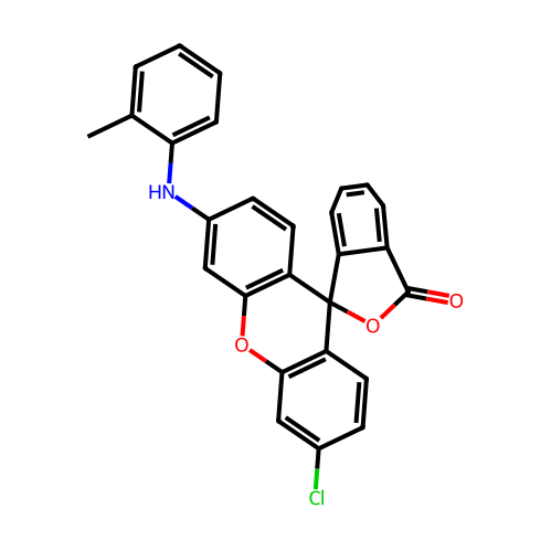 Cc1ccccc1Nc1ccc2c(c1)Oc1cc(Cl)ccc1C21OC(=O)c2ccccc21